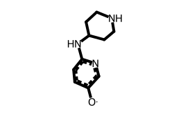 [O]c1ccc(NC2CCNCC2)nc1